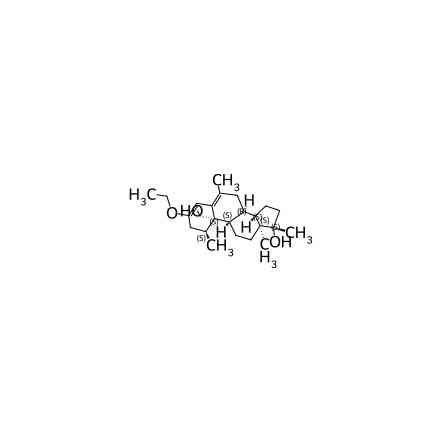 CCOC1=CC2=C(C)C[C@@H]3[C@H](CC[C@@]4(C)[C@H]3CC[C@]4(C)O)[C@@]2(CO)[C@@H](C)C1